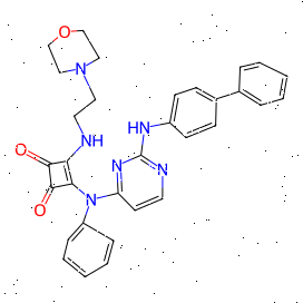 O=c1c(NCCN2CCOCC2)c(N(c2ccccc2)c2ccnc(Nc3ccc(-c4ccccc4)cc3)n2)c1=O